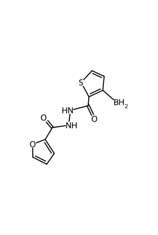 Bc1ccsc1C(=O)NNC(=O)c1ccco1